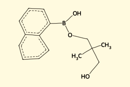 CC(C)(CO)COB(O)c1cccc2ccccc12